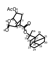 [CH2]C(=O)OC1C2CC3C1OC(=O)C3C2C(=O)OC(C)(C)C12CC3CC(CC(C3)C1)C2